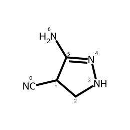 N#CC1CNN=C1N